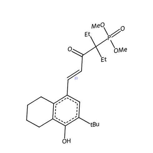 CCC(CC)(C(=O)/C=C/c1cc(C(C)(C)C)c(O)c2c1CCCC2)P(=O)(OC)OC